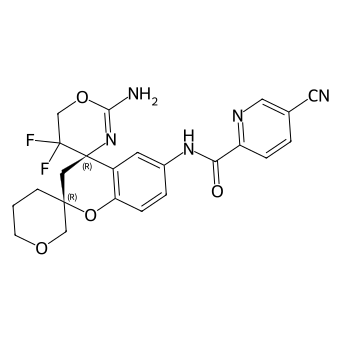 N#Cc1ccc(C(=O)Nc2ccc3c(c2)[C@@]2(C[C@@]4(CCCOC4)O3)N=C(N)OCC2(F)F)nc1